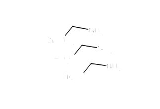 NCC(=O)O.NCC(=O)O.NCC(=O)O.[Zn]